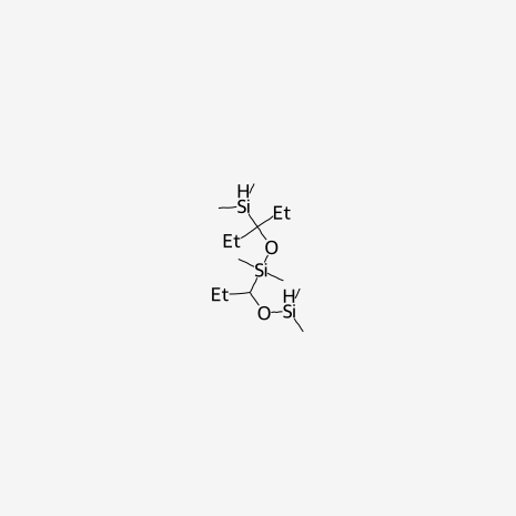 CCC(O[SiH](C)C)[Si](C)(C)OC(CC)(CC)[SiH](C)C